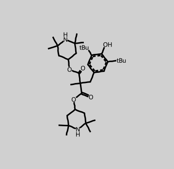 CC1(C)CC(OC(=O)C(C)(Cc2cc(C(C)(C)C)c(O)c(C(C)(C)C)c2)C(=O)OC2CC(C)(C)NC(C)(C)C2)CC(C)(C)N1